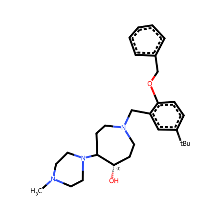 CN1CCN(C2CCN(Cc3cc(C(C)(C)C)ccc3OCc3ccccc3)CC[C@@H]2O)CC1